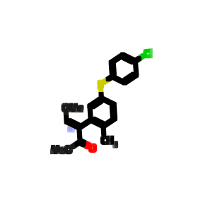 CO/C=C(/C(=O)OC)c1cc(Sc2ccc(Cl)cc2)ccc1C